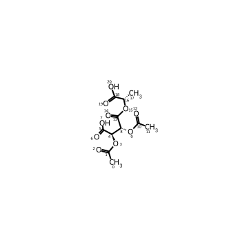 CC(=O)O[C@@H](C(=O)O)[C@@H](OC(C)=O)C(=O)O[C@@H](C)C(=O)O